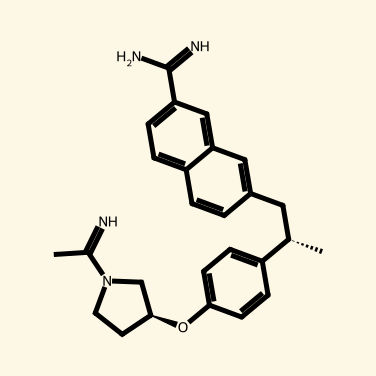 CC(=N)N1CC[C@H](Oc2ccc([C@@H](C)Cc3ccc4ccc(C(=N)N)cc4c3)cc2)C1